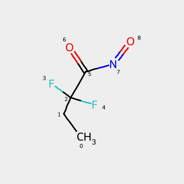 CCC(F)(F)C(=O)N=O